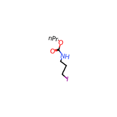 CCCOC(=O)NCCCI